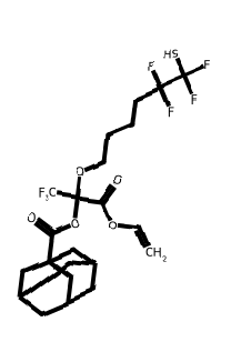 C=COC(=O)C(OCCCCC(F)(F)C(F)(F)S)(OC(=O)C12CC3CC(CC(C3)C1)C2)C(F)(F)F